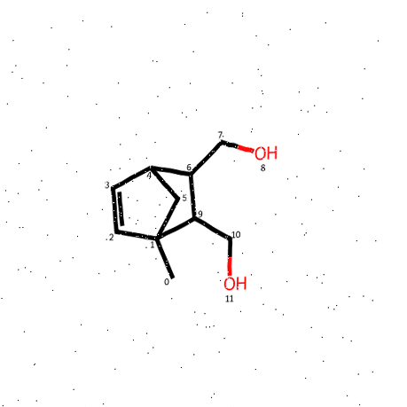 CC12C=CC(C1)C(CO)C2CO